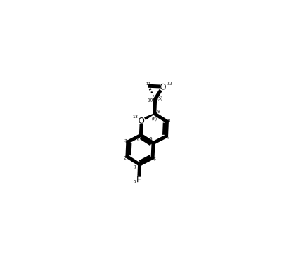 Fc1ccc2c(c1)C=C[C@H]([C@@H]1CO1)O2